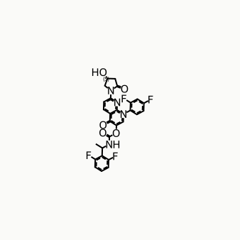 CC(NC(=O)Oc1cn(-c2ccc(F)cc2F)c2nc(N3C[C@@H](O)CC3=O)ccc2c1=O)c1c(F)cccc1F